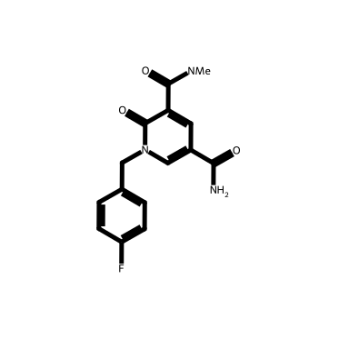 CNC(=O)c1cc(C(N)=O)cn(Cc2ccc(F)cc2)c1=O